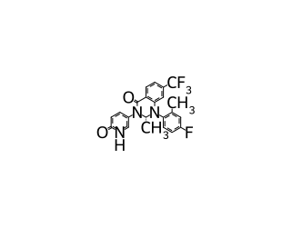 Cc1cc(F)ccc1N1c2cc(C(F)(F)F)ccc2C(=O)N(c2ccc(=O)[nH]c2)[C@H]1C